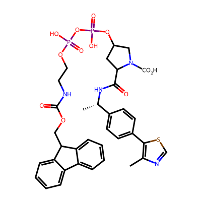 Cc1ncsc1-c1ccc([C@H](C)NC(=O)C2CC(OP(=O)(O)OP(=O)(O)OCCNC(=O)OCC3c4ccccc4-c4ccccc43)CN2C(=O)O)cc1